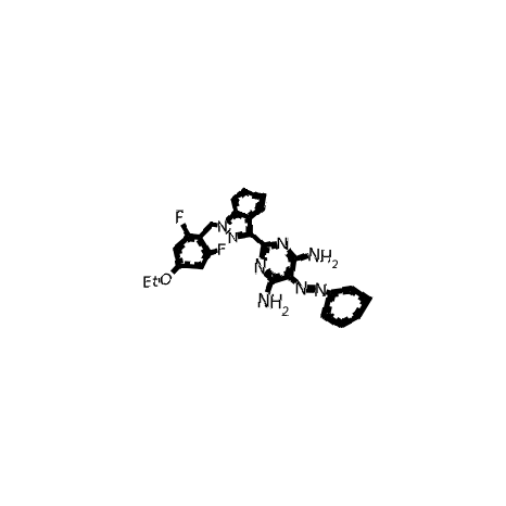 CCOc1cc(F)c(Cn2nc(-c3nc(N)c(N=Nc4ccccc4)c(N)n3)c3ccccc32)c(F)c1